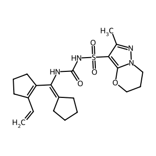 C=CC1=C(C(NC(=O)NS(=O)(=O)c2c(C)nn3c2OCCC3)=C2CCCC2)CCC1